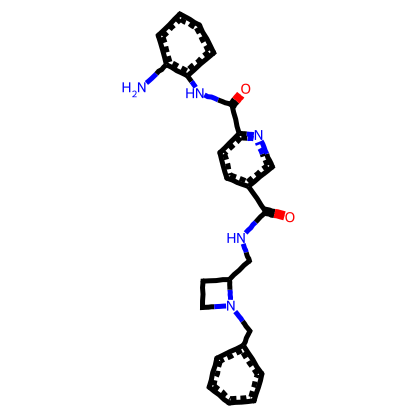 Nc1ccccc1NC(=O)c1ccc(C(=O)NCC2CCN2Cc2ccccc2)cn1